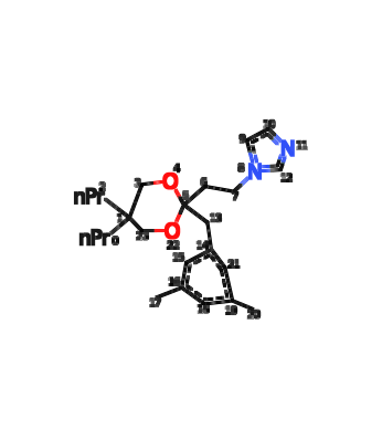 CCCC1(CCC)COC(CCn2ccnc2)(Cc2cc(C)cc(C)c2)OC1